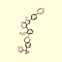 Cc1c(-c2ncnc3[nH]c(-c4ccc(N5CCOCC5)cc4)cc23)cccc1N1CCc2cc(C3(c4cnon4)CC3)ccc2C1